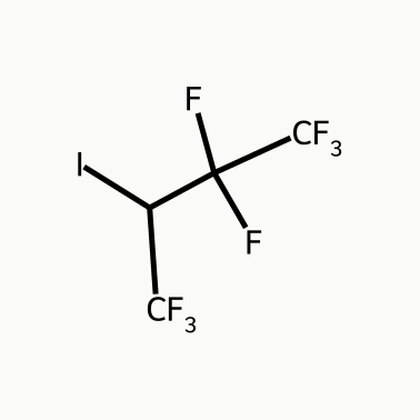 FC(F)(F)C(I)C(F)(F)C(F)(F)F